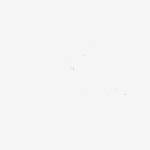 CC(C)c1cc(C(=O)Nc2cccc(CN3CCOCC3)c2)c(OCc2ccccc2)cc1OCc1ccccc1